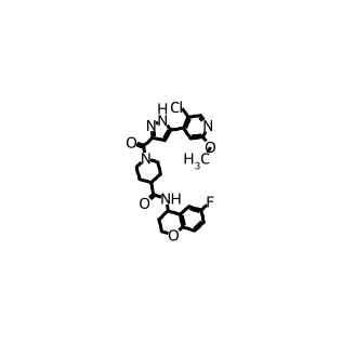 COc1cc(-c2cc(C(=O)N3CCC(C(=O)NC4CCOc5ccc(F)cc54)CC3)n[nH]2)c(Cl)cn1